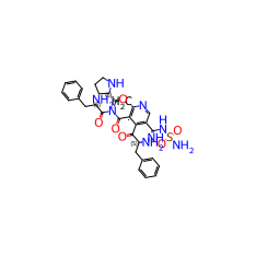 [CH2]c1ncc(C(=N)NS(N)(=O)=O)c(C(=O)[C@@H](N)Cc2ccccc2)c1C(=O)N(C(=O)[C@@H]1CCCN1)C(=O)[C@@H](N)Cc1ccccc1